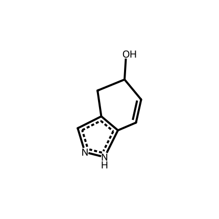 OC1C=Cc2[nH]ncc2C1